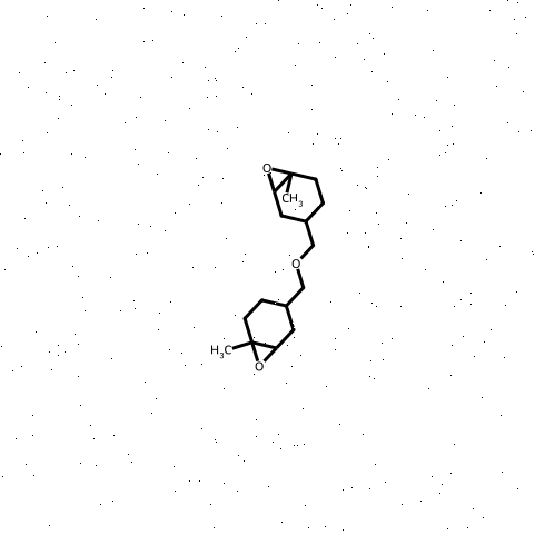 CC12CCC(COCC3CCC4(C)OC4C3)CC1O2